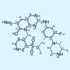 CC1CN(c2ccc(Nc3ncc4cc(C#N)c(=O)n(Cc5ccncc5S(=O)(=O)C(C)C)c4n3)cc2F)CCN1